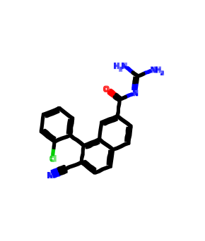 N#Cc1ccc2ccc(C(=O)N=C(N)N)cc2c1-c1ccccc1Cl